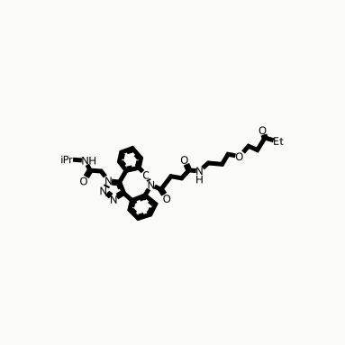 CCC(=O)CCOCCCNC(=O)CCC(=O)N1Cc2ccccc2-c2c(nnn2CC(=O)NC(C)C)-c2ccccc21